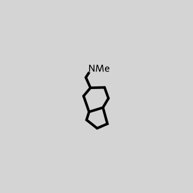 CNCC1CCC2CCCC2C1